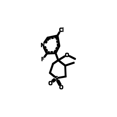 COC1(c2cc(Cl)cnc2F)CCS(=O)(=O)CC1C